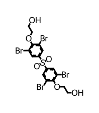 O=S(=O)(c1cc(Br)c(OCCO)c(Br)c1)c1cc(Br)c(OCCO)c(Br)c1